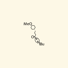 CCC(C)N1CCN(C(=O)CCC[C@H]2CC[C@H](OC)CC2)CC1